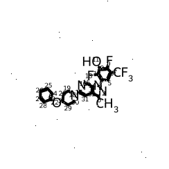 Cc1nn(-c2cc(C(F)(F)F)c(F)c(O)c2F)c2cnc(N3CCC(Oc4ccccc4)CC3)cc12